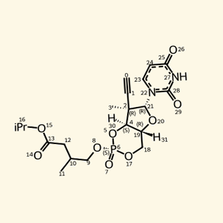 C#C[C@]1(C)[C@@H]2O[P@@](=O)(OCC(C)CC(=O)OC(C)C)OC[C@H]2O[C@H]1n1ccc(=O)[nH]c1=O